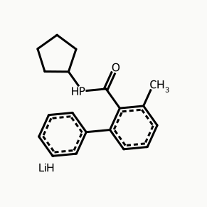 Cc1cccc(-c2ccccc2)c1C(=O)PC1CCCC1.[LiH]